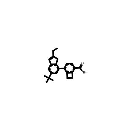 CCC1=Cc2cc(C(C)(C)C)cc(-c3ccc(C([NH])=O)c4c3CC4)c2C1